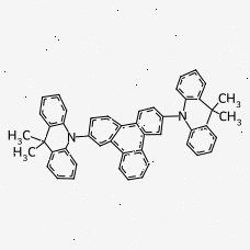 CC1(C)c2ccccc2N(c2ccc3c4ccc(N5c6ccccc6C(C)(C)c6ccccc65)cc4c4ccccc4c3c2)c2ccccc21